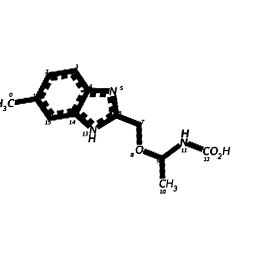 Cc1ccc2nc(COC(C)NC(=O)O)[nH]c2c1